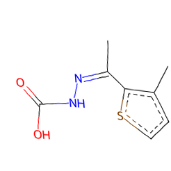 C/C(=N/NC(=O)O)c1sccc1C